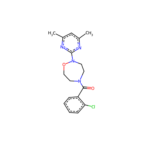 Cc1cc(C)nc(N2CCN(C(=O)c3ccccc3Cl)CCO2)n1